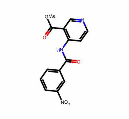 COC(=O)c1cnccc1NC(=O)c1cccc([N+](=O)[O-])c1